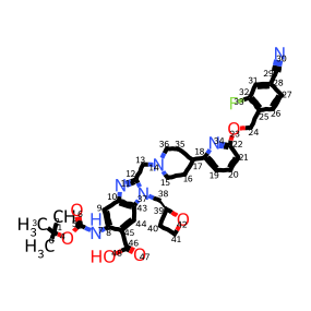 CC(C)(C)OC(=O)Nc1cc2nc(CN3CCC(c4cccc(OCc5ccc(C#N)cc5F)n4)CC3)n(C[C@@H]3CCO3)c2cc1C(=O)O